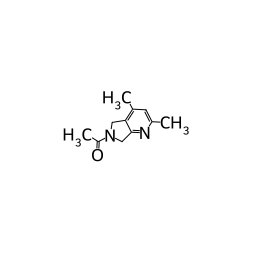 CC(=O)N1Cc2nc(C)cc(C)c2C1